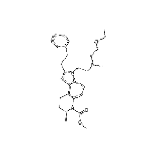 CCOCCN(C)CCn1c(CCc2ccccc2)nc2c3c(ccc21)N(C(=O)OC)[C@@H](C)CC3